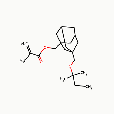 C=C(C)C(=O)OCC12CC3CC(C1)CC(COC(C)(C)CC)(C3)C2